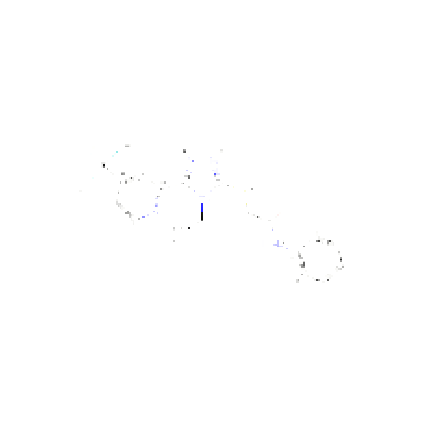 CCn1c(SCC(O)Nc2ccccc2)nnc1-c1cc(C(F)(F)F)ccn1